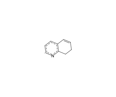 [c]1ccc2c(n1)CCC=C2